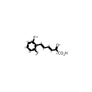 O=C(O)C(=O)/C=C/C=C/c1c(F)cccc1F